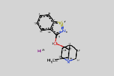 CC1C(Oc2nsc3ccccc23)C2CCN1CC2.I